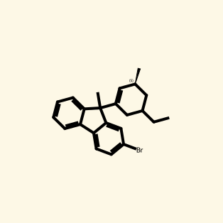 CCC1CC(C2(C)c3ccccc3-c3ccc(Br)cc32)=C[C@@H](C)C1